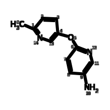 Cc1ccc(Oc2ccc(N)cn2)cn1